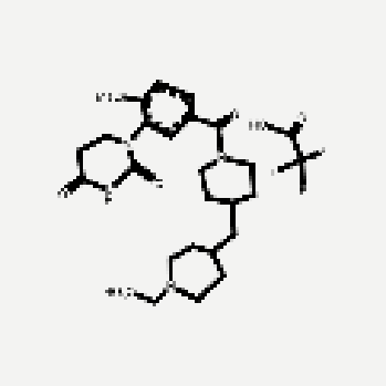 COc1ccc(C(=O)N2CCC(CC3CCN(CC(=O)O)CC3)CC2)cc1N1CCC(=O)NC1=O.O=C(O)C(F)(F)F